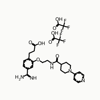 N=C(N)c1ccc(CCC(=O)O)c(OCCNC(=O)C2CCN(c3ccncc3)CC2)c1.O=C(O)C(F)(F)F.O=C(O)C(F)(F)F